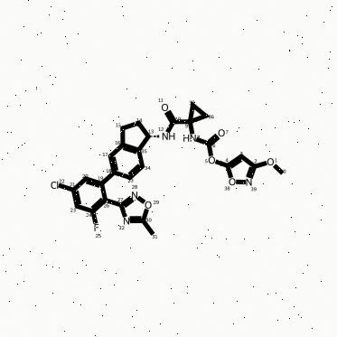 COc1cc(OC(=O)NC2(C(=O)N[C@H]3CCc4cc(-c5cc(Cl)cc(F)c5-c5noc(C)n5)ccc43)CC2)on1